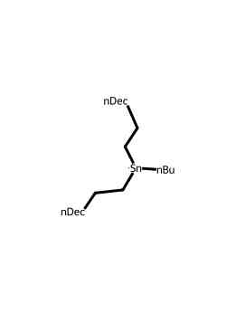 CCCCCCCCCCC[CH2][Sn]([CH2]CCC)[CH2]CCCCCCCCCCC